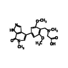 COc1cc(-c2cn(C)c(=O)c3[nH]ncc23)cc(OC)c1CN(C)CC(=O)O